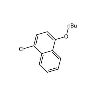 CCCCOc1ccc(Cl)c2ccccc12